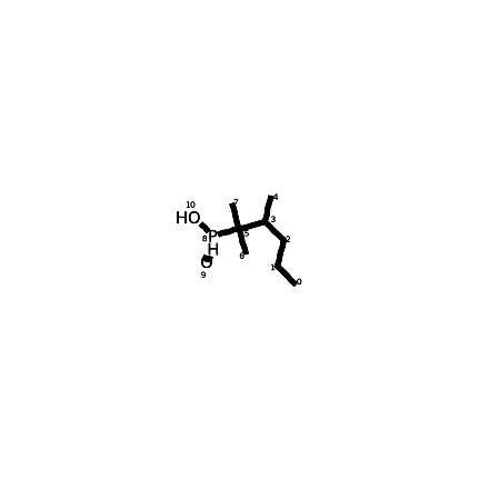 CCCC(C)C(C)(C)[PH](=O)O